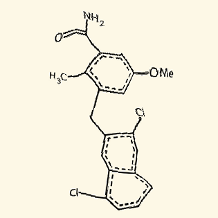 COc1cc(Cc2cc3c(Cl)cccc3cc2Cl)c(C)c(C(N)=O)c1